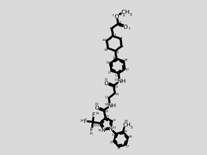 COC(=O)CC1CCC(c2ccc(NC(=O)CCNC(=O)c3cn(-c4ccccc4C)nc3C(F)(F)F)cc2)CC1